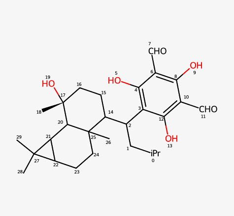 CC(C)CC(c1c(O)c(C=O)c(O)c(C=O)c1O)C1CC[C@@](C)(O)C2C3C(CCC12C)C3(C)C